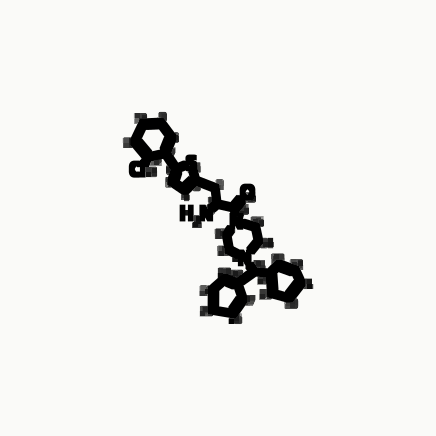 NC(Cc1ccc(-c2ccccc2Cl)s1)C(=O)N1CCN(C(c2ccccc2)c2ccccc2)CC1